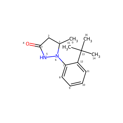 CC1CC(=O)NN1c1ccccc1C(C)(C)C